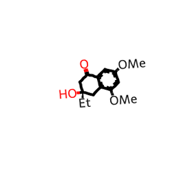 CC[C@@]1(O)CC(=O)c2cc(OC)cc(OC)c2C1